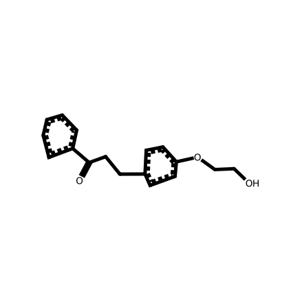 O=C(CCc1ccc(OCCO)cc1)c1ccccc1